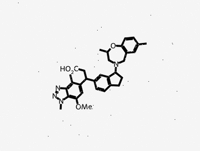 COc1cc(C(CC(=O)O)c2ccc3c(c2)C(N2Cc4cc(C)ccc4OC(C)C2)CC3)c(C)c2nnn(C)c12